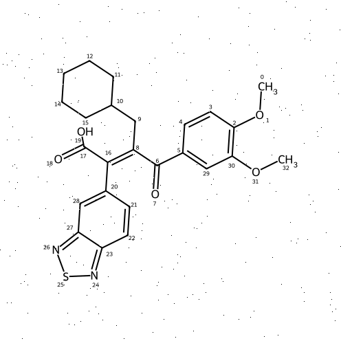 COc1ccc(C(=O)/C(CC2CCCCC2)=C(/C(=O)O)c2ccc3nsnc3c2)cc1OC